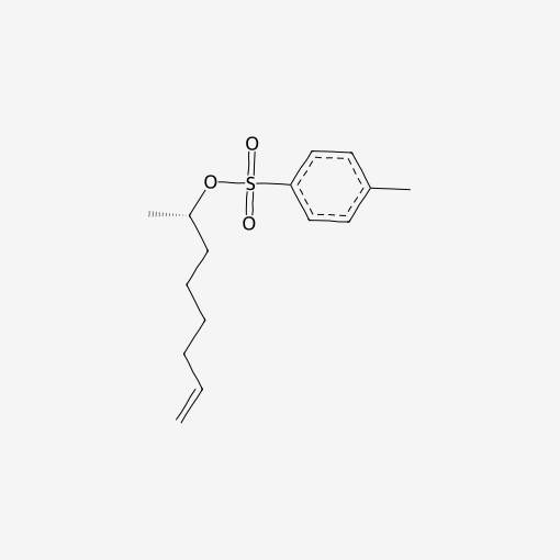 C=CCCCC[C@H](C)OS(=O)(=O)c1ccc(C)cc1